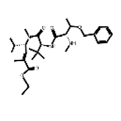 CCOC(=O)/C(C)=C/[C@H](C(C)C)N(C)C(=O)[C@@H](NC(=O)[C@@H](NC)C(C)OCc1ccccc1)C(C)(C)C